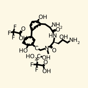 CN1CCc2cc(ccc2O)-c2ccc(O)c(c2)C[C@H](N)C(=O)N[C@@H](C[C@@H](O)CN)C1=O.O=C(O)C(F)(F)F.O=C(O)C(F)(F)F.O=C(O)O